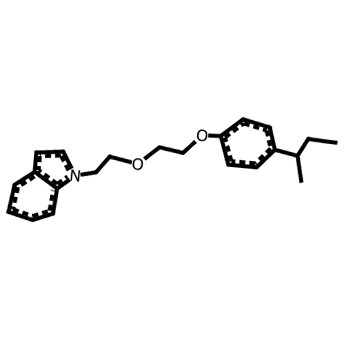 CCC(C)c1ccc(OCCOCCn2ccc3ccccc32)cc1